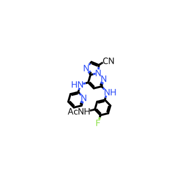 CC(=O)Nc1cc(Nc2cc(Nc3ccccn3)c3ncc(C#N)n3n2)ccc1F